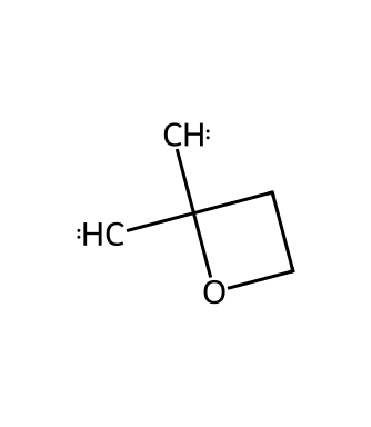 [CH]C1([CH])CCO1